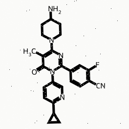 Cc1c(N2CCC(N)CC2)nc(-c2ccc(C#N)c(F)c2)n(-c2ccc(C3CC3)nc2)c1=O